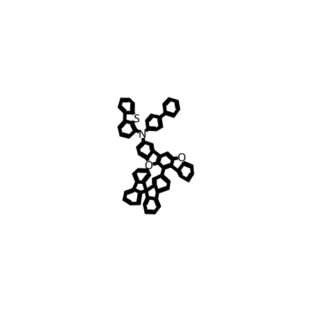 c1ccc(-c2ccc(N(c3ccc4oc5c(-c6ccc7c(c6)C6(c8ccccc8-c8ccccc86)c6ccccc6-7)c6c(cc5c4c3)oc3ccccc36)c3cccc4c3sc3ccccc34)cc2)cc1